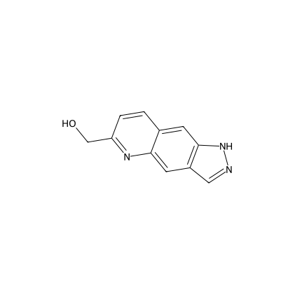 OCc1ccc2cc3[nH]ncc3cc2n1